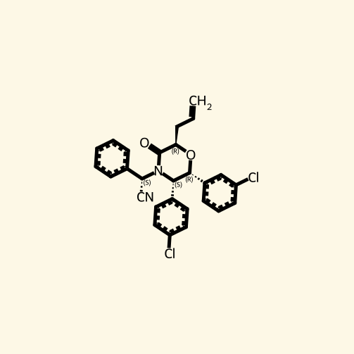 C=CC[C@H]1O[C@H](c2cccc(Cl)c2)[C@H](c2ccc(Cl)cc2)N([C@H](C#N)c2ccccc2)C1=O